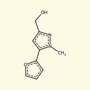 Cn1nc(CO)cc1-c1ccco1